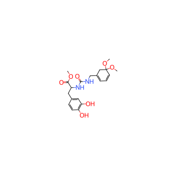 COC(=O)C(Cc1ccc(O)c(O)c1)NC(=O)NCC1=CC=CC(OC)(OC)C1